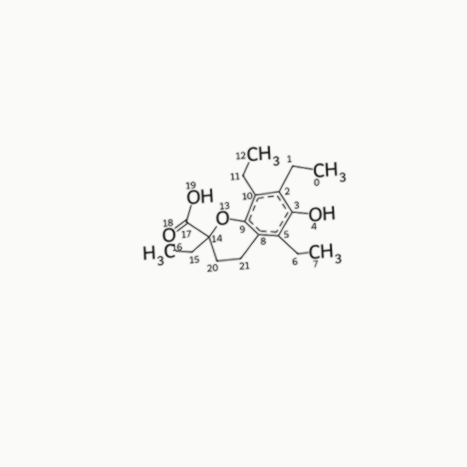 CCc1c(O)c(CC)c2c(c1CC)OC(CC)(C(=O)O)CC2